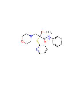 COC(CN1CCOCC1)(Sc1ccccn1)C(=O)Nc1ccccc1